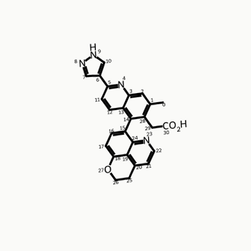 Cc1cc2nc(-c3cn[nH]c3)ccc2c(-c2ccc3c4c(ccnc24)CCO3)c1CC(=O)O